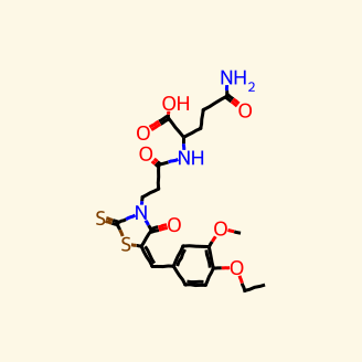 CCOc1ccc(/C=C2/SC(=S)N(CCC(=O)NC(CCC(N)=O)C(=O)O)C2=O)cc1OC